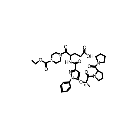 CCOC(=O)N1CCN(C(=O)C(CCC(=O)O)NC(=O)c2cc(O[C@H](C)C(=O)N3CCCC3C(=O)N3CCCC3)n(-c3ccccc3)n2)CC1